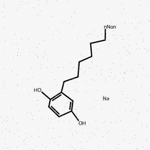 CCCCCCCCCCCCCCCc1cc(O)ccc1O.[Na]